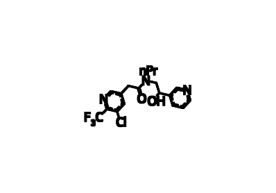 CCCN(CC(O)c1cccnc1)C(=O)Cc1cnc(C(F)(F)F)c(Cl)c1